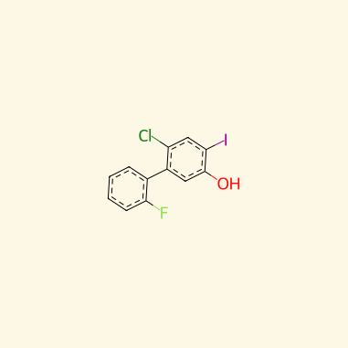 Oc1cc(-c2ccccc2F)c(Cl)cc1I